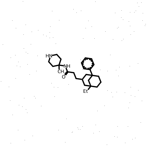 CCC12CCCC(c3ccccc3)(CC(CCC(=O)NC3(C)CCNCC3)C1)C2